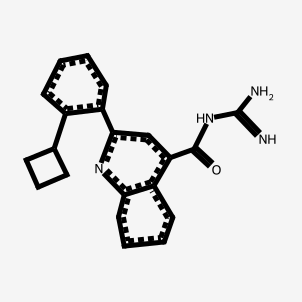 N=C(N)NC(=O)c1cc(-c2ccccc2C2CCC2)nc2ccccc12